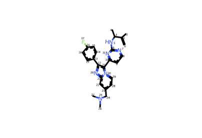 C=C(C)C(C)Nc1nccc(-c2c(-c3ccc(F)cc3)nc3cc(CN(C)C)ccn23)n1